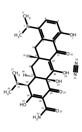 CN(C)c1ccc(O)c2c1C[C@H]1C[C@@H]3[C@H](N(C)C)C(O)=C(C(N)=O)C(=O)[C@@]3(O)C(O)=C1C2=O.N#N